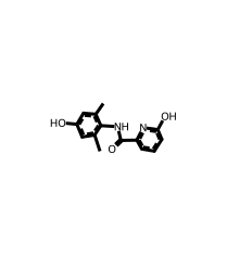 Cc1cc(O)cc(C)c1NC(=O)c1cccc(O)n1